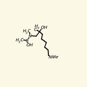 CNCCCCCCC(C)(O)CN(C)B(C)O